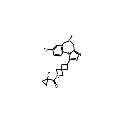 CN1Cc2cc(Cl)ccc2-n2c(nnc2C2CC3(C2)CN(C(=O)C2(F)CC2)C3)C1